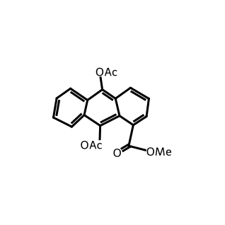 COC(=O)c1cccc2c(OC(C)=O)c3ccccc3c(OC(C)=O)c12